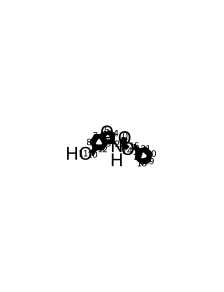 O=C(N[C@H]1COc2ccc(CO)cc21)OCc1ccccc1